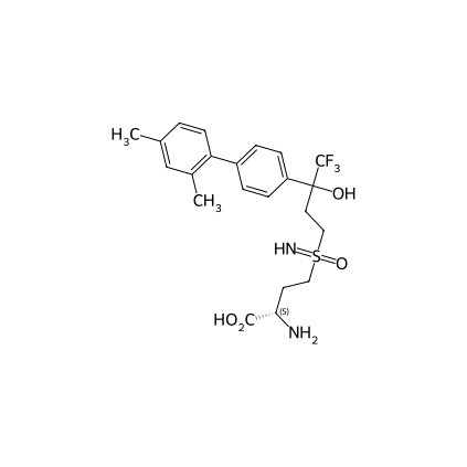 Cc1ccc(-c2ccc(C(O)(CCS(=N)(=O)CC[C@H](N)C(=O)O)C(F)(F)F)cc2)c(C)c1